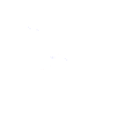 O=C(Nc1ccc2cn[nH]c2c1)C(Cc1ccccc1)c1ccc(-c2c(F)ccc(Cl)c2F)c[n+]1[O-]